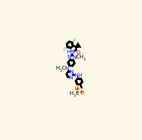 CN(c1ccc2c(c1)nc(NC(=O)C1(c3cc(F)ccc3F)CC1)n2C)c1ccnc(Nc2ccc(CS(C)(=O)=O)cc2)n1